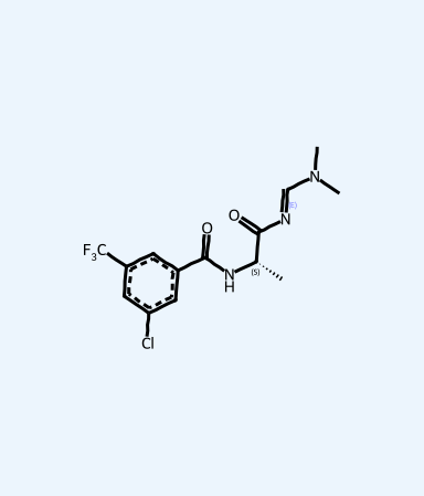 C[C@H](NC(=O)c1cc(Cl)cc(C(F)(F)F)c1)C(=O)/N=C/N(C)C